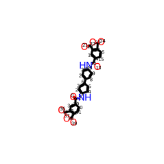 O=C(Nc1ccc(-c2ccc(NC(=O)c3ccc4c(c3)C(=O)OC4=O)cc2)cc1)c1ccc2c(c1)C(=O)OC2=O